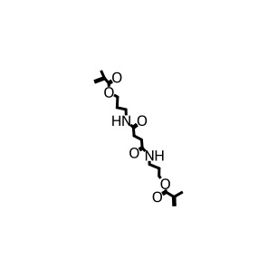 C=C(C)C(=O)OCCCNC(=O)CCC(=O)NCCCOC(=O)C(=C)C